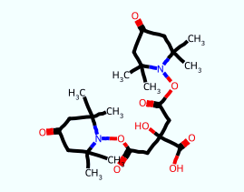 CC1(C)CC(=O)CC(C)(C)N1OC(=O)CC(O)(CC(=O)ON1C(C)(C)CC(=O)CC1(C)C)C(=O)O